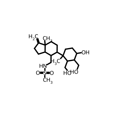 C=C1CCC2C(CNS(C)(=O)=O)C(C3(C)CCC(O)C(CO)C3CO)CCC12C